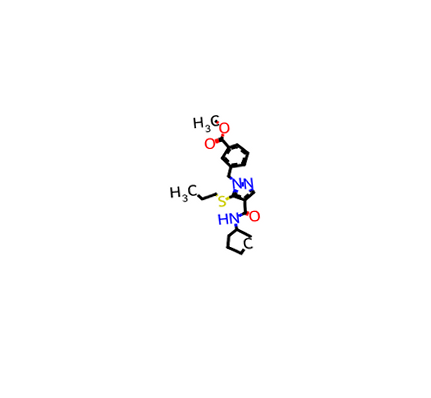 CCCSc1c(C(=O)NC2CCCCC2)cnn1Cc1cccc(C(=O)OC)c1